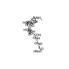 CCCCCCCCCC(=O)SCCNC(=O)CCNC(=O)C(O)C(C)(C)COP(=O)(O)OP(=O)(O)OC[C@H]1O[C@@H](n2cnc3c(N)ncnc32)[C@H](O)[C@@H]1OP(=O)(O)O